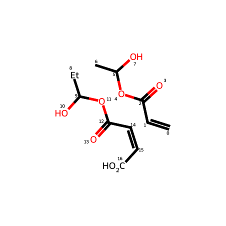 C=CC(=O)OC(C)O.CCC(O)OC(=O)/C=C\C(=O)O